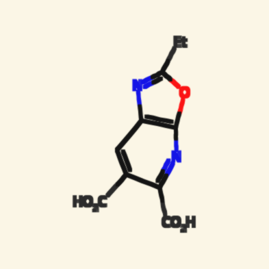 CCc1nc2cc(C(=O)O)c(C(=O)O)nc2o1